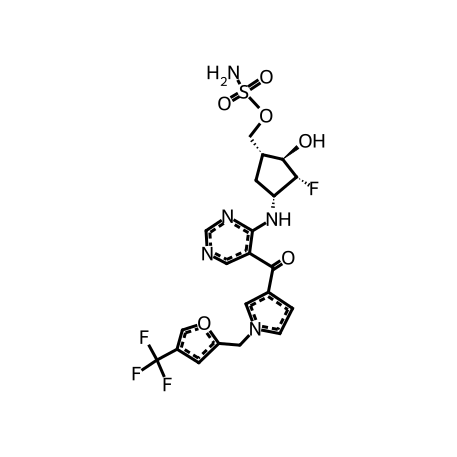 NS(=O)(=O)OC[C@H]1C[C@@H](Nc2ncncc2C(=O)c2ccn(Cc3cc(C(F)(F)F)co3)c2)[C@@H](F)[C@@H]1O